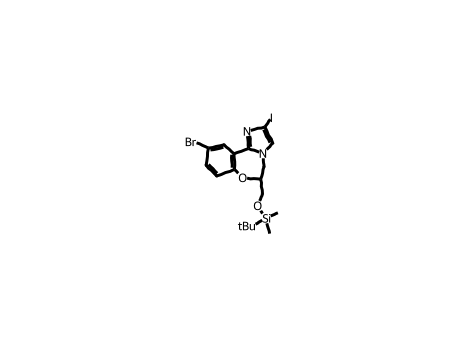 CC(C)(C)[Si](C)(C)OCC1Cn2cc(I)nc2-c2cc(Br)ccc2O1